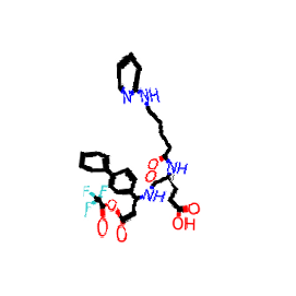 O=C(O)CC[C@H](NC(=O)CCCCNc1ccccn1)C(=O)NC(CC(=O)OC(=O)C(F)(F)F)c1ccc(-c2ccccc2)cc1